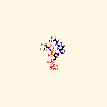 CC(C)C(=O)Nc1nc2c(ncn2C2OC(COP(=O)(O)OP(=O)(O)O)C(O)C2OS(=O)(=O)NC(=O)C(C)C)c(=O)[nH]1